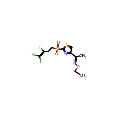 CCO/N=C(\C)c1csc(S(=O)(=O)CCC(F)=C(F)F)n1